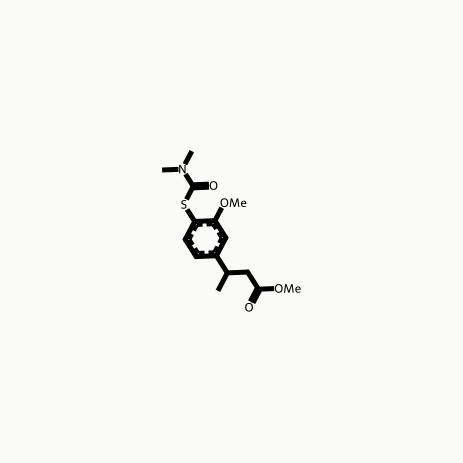 COC(=O)CC(C)c1ccc(SC(=O)N(C)C)c(OC)c1